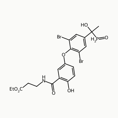 CCOC(=O)CCNC(=O)c1cc(Oc2c(Br)cc(C(C)(O)[PH2]=O)cc2Br)ccc1O